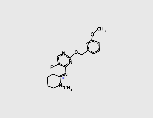 COc1cccc(COc2ncc(F)c(/N=C3\CCCCN3C)n2)c1